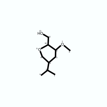 COC1CC(C(C)C)COC1CO